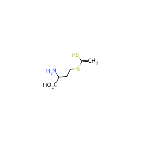 C=C(S)SCCC(N)C(=O)O